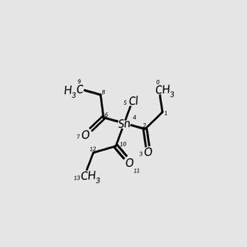 CC[C](=O)[Sn]([Cl])([C](=O)CC)[C](=O)CC